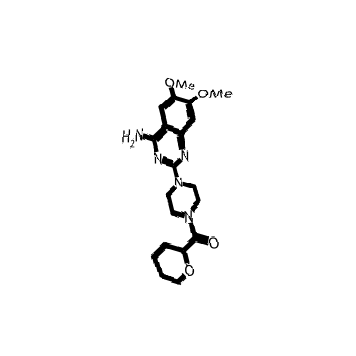 COc1cc2nc(N3CCN(C(=O)C4CCCCO4)CC3)nc(N)c2cc1OC